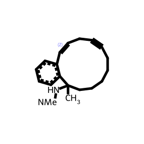 CNNC1(C)CCCCCC#CC/C=C\c2ccccc21